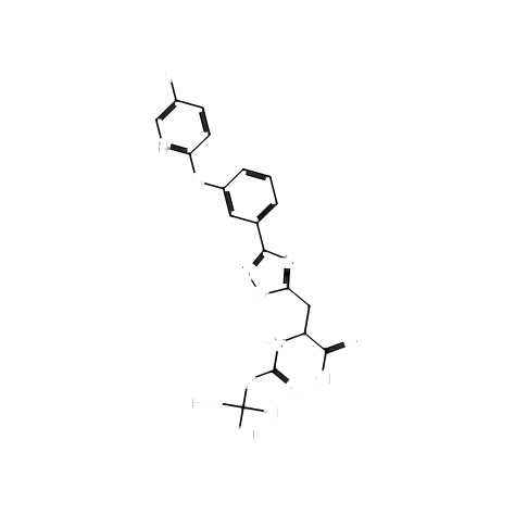 CC(C)(C)OC(=O)NC(Cc1nc(-c2cccc(Oc3ccc(Cl)cn3)c2)no1)C(=O)O